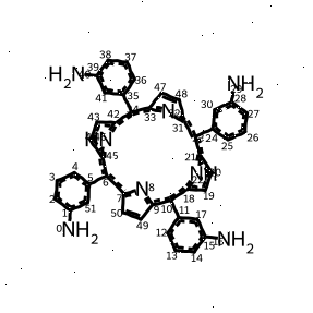 Nc1cccc(-c2c3nc(c(-c4cccc(N)c4)c4ccc([nH]4)c(-c4cccc(N)c4)c4nc(c(-c5cccc(N)c5)c5ccc2[nH]5)C=C4)C=C3)c1